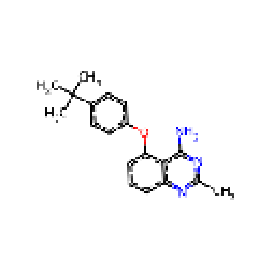 Cc1nc(N)c2c(Oc3ccc(C(C)(C)C)cc3)cccc2n1